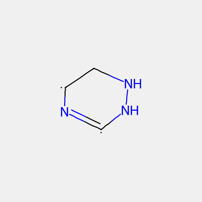 [C]1=N[CH]CNN1